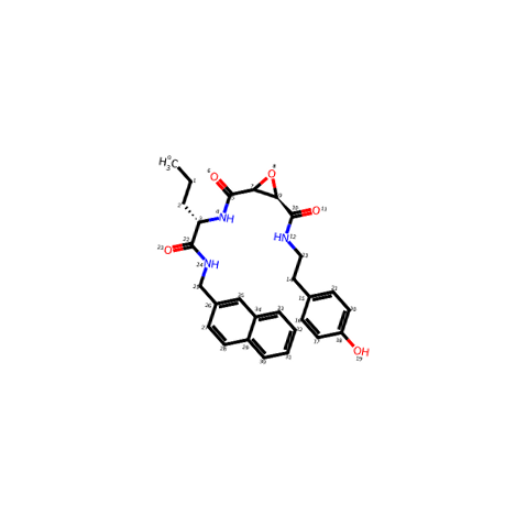 CCC[C@H](NC(=O)C1O[C@H]1C(=O)NCCc1ccc(O)cc1)C(=O)NCc1ccc2ccccc2c1